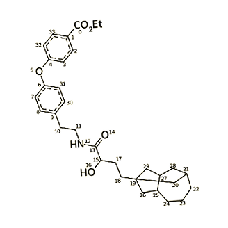 CCOC(=O)c1ccc(Oc2ccc(CCNC(=O)C(O)CCC34CC5CCCC(C3)C(C5)C4)cc2)cc1